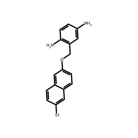 CCc1ccc2cc(OCc3cc(N)ccc3N)ccc2c1